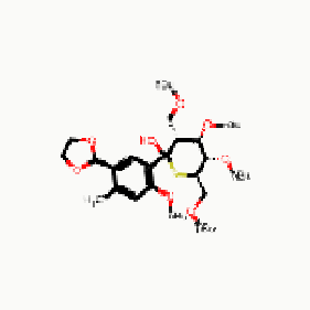 CCCCOC[C@@H]1[C@@H](OCCCC)[C@H](OCCCC)[C@@H](COCCCC)SC1(O)c1cc(C2OCCO2)c(C)cc1OCCCC